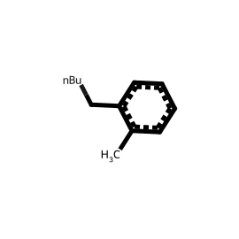 CCCCCc1ccccc1C